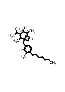 C=C(C)/C(C(=C)C(C)C)=C(\C)C1(Cc2ccc(CCCCCCC)c(C)c2F)CCC1